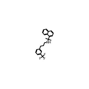 CC(C)(NCCCc1cccc(C(F)(F)F)c1)c1cccc2ccccc12